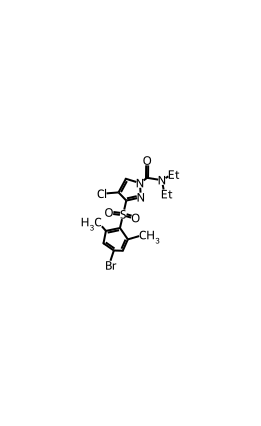 CCN(CC)C(=O)n1cc(Cl)c(S(=O)(=O)c2c(C)cc(Br)cc2C)n1